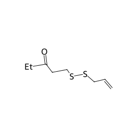 C=CCSSCCC(=O)CC